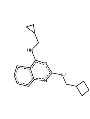 c1ccc2c(NCC3CC3)nc(NCC3CCC3)nc2c1